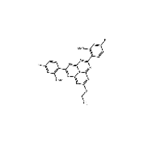 COc1cc(F)ccc1C1=NC2=NC(OCC(F)(F)F)=NC3=NC(c4ccc(F)cc4OC)=NC(=N1)N23